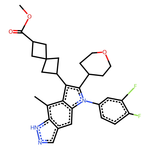 COC(=O)C1CC2(C1)CC(c1c(C3CCOCC3)n(-c3ccc(F)c(F)c3)c3cc4cn[nH]c4c(C)c13)C2